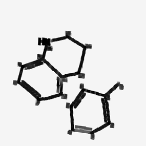 Cc1ccccc1.c1ccc2c(c1)CCCN2